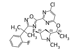 C[C@H](Oc1cc(Cl)nc(-c2nc(C(C)(C)c3ccccc3F)no2)n1)[C@@H]1C[C@H](F)CN1C